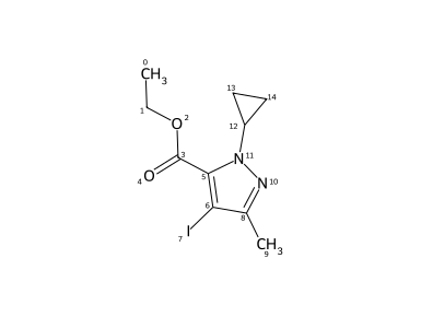 CCOC(=O)c1c(I)c(C)nn1C1CC1